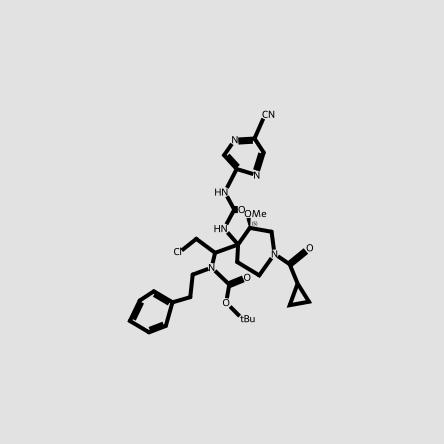 CO[C@H]1CN(C(=O)C2CC2)CCC1(NC(=O)Nc1cnc(C#N)cn1)C(CCl)N(CCc1ccccc1)C(=O)OC(C)(C)C